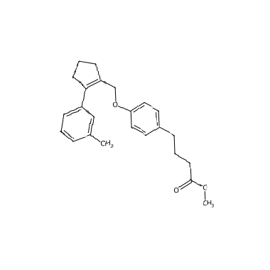 COC(=O)CCCc1ccc(OCC2=C(c3cccc(C)c3)CCC2)cc1